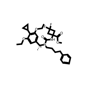 CCOc1cc([C@@H](C)N(CCCCc2ccccc2)C(=O)NC2(C(=O)OC)CC(F)(F)C2)cc(OCC)c1C1CC1